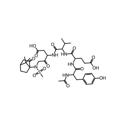 CC(=O)NC(Cc1ccc(O)cc1)C(=O)NC(CCC(=O)O)C(=O)NC(C(=O)NC(CC(=O)O)C(=O)CN(C12CCC(CC1=O)C2(C)C)S(C)(=O)=O)C(C)C